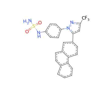 NS(=O)(=O)Nc1ccc(-n2nc(C(F)(F)F)cc2-c2ccc3c(ccc4ccccc43)c2)cc1